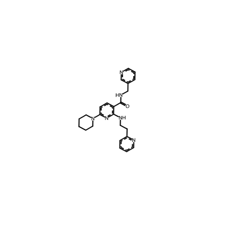 O=C(NCc1cccnc1)c1ccc(N2CCCCC2)nc1NCCc1ccccn1